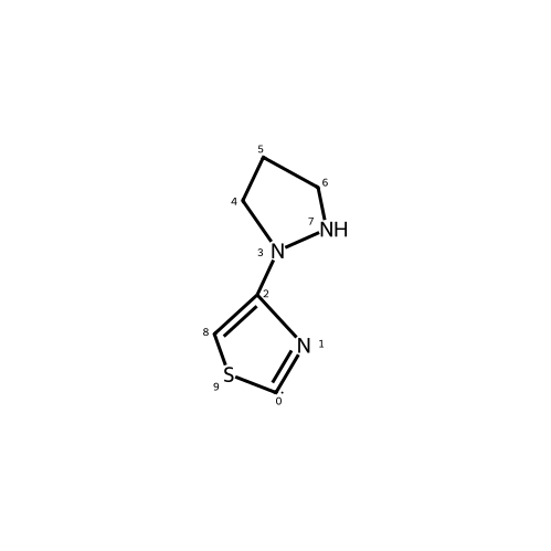 [c]1nc(N2CCCN2)cs1